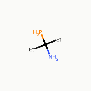 CCC(N)(P)CC